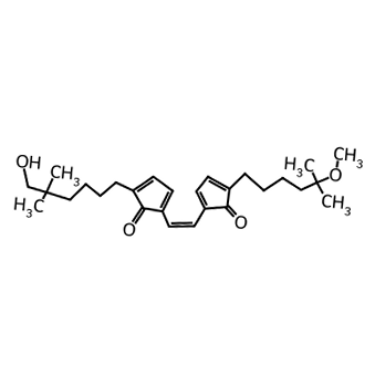 COC(C)(C)CCCCC1=CC=C(/C=C\C2=CC=C(CCCCC(C)(C)CO)C2=O)C1=O